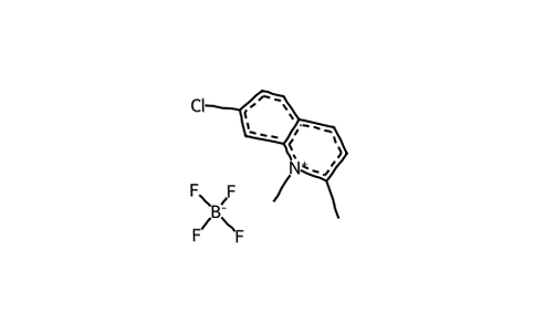 Cc1ccc2ccc(Cl)cc2[n+]1C.F[B-](F)(F)F